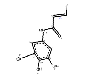 C/C=C/C(=O)Nc1cc(C(C)(C)C)c(O)c(C(C)(C)C)c1